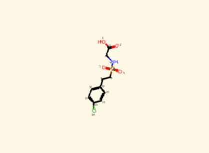 O=C(O)CNS(=O)(=O)CCc1ccc(Cl)cc1